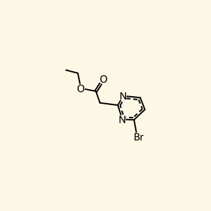 CCOC(=O)Cc1nccc(Br)n1